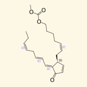 CC/C=C\C/C=C/C=C1/C(=O)C=C[C@@H]1C/C=C\CCCCOC(=O)OC